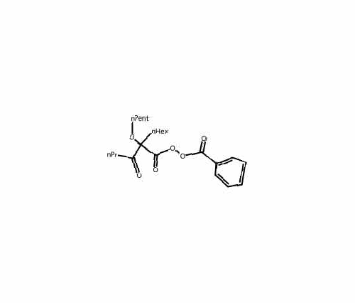 CCCCCCC(OCCCCC)(C(=O)CCC)C(=O)OOC(=O)c1ccccc1